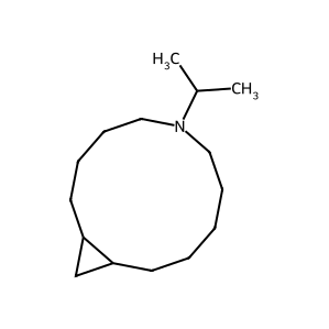 CC(C)N1CCCCCC2CC2CCCC1